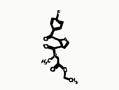 CCOC(=O)CN(C)C(=O)c1ccsc1C(=O)c1ccc(F)cc1